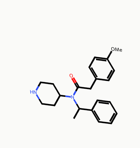 COc1ccc(CC(=O)N(C2CCNCC2)C(C)c2ccccc2)cc1